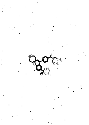 C=S(C)(=O)c1ccc2c(c1)C(c1ccc(C(=O)N(CC)CC)cc1)=CC1(CCCNCC1)O2